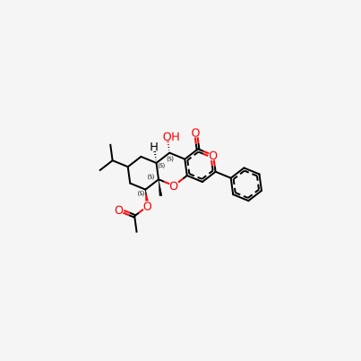 CC(=O)O[C@H]1CC(C(C)C)C[C@H]2[C@H](O)c3c(cc(-c4ccccc4)oc3=O)O[C@]12C